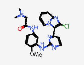 COc1ccc(NC(=O)CN(C)C)cc1Nc1nccc(-c2c(Cl)nc3ccccn23)n1